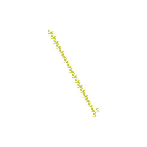 S=S=S=S=S=S=S=S=S=S=S=S=S=S=S=S=S=S=S=S=S=S=S=S=S=S=S=S=S=S=S=S=S=S(=S)=S